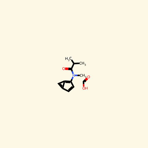 CC(C)C(=O)N(C)c1ccc2cc1-2.O=CO